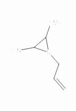 C=CCN1C(SC)C1[N+](=O)[O-]